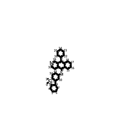 C[Si]1(C)c2ccccc2-c2cc(Sc3c4ccccc4c(-c4ccccc4)c4cnccc34)ccc21